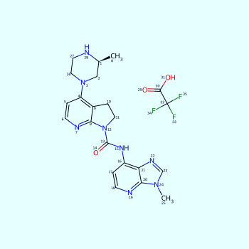 C[C@H]1CN(c2ccnc3c2CCN3C(=O)Nc2ccnc3c2ncn3C)CCN1.O=C(O)C(F)(F)F